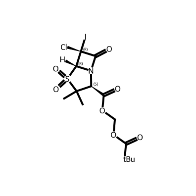 CC(C)(C)C(=O)OCOC(=O)[C@@H]1N2C(=O)[C@@](Cl)(I)[C@H]2S(=O)(=O)C1(C)C